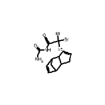 C1=CC2C3C=CC(C3)C2C1.CCC(Br)(CC)C(=O)NC(N)=O